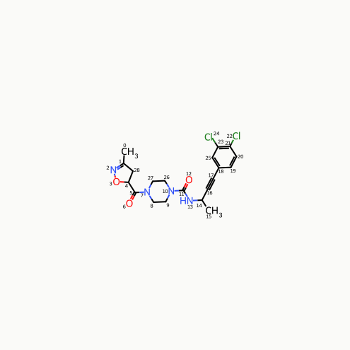 CC1=NOC(C(=O)N2CCN(C(=O)NC(C)C#Cc3ccc(Cl)c(Cl)c3)CC2)C1